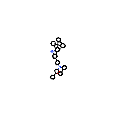 C1=CC(c2ccccc2)CC=C1N(c1ccc(-c2ccc3[nH]c4c5c(ccc4c3c2)C2(c3ccccc3-c3ccccc32)c2ccccc2-5)cc1)c1ccccc1-c1ccccc1